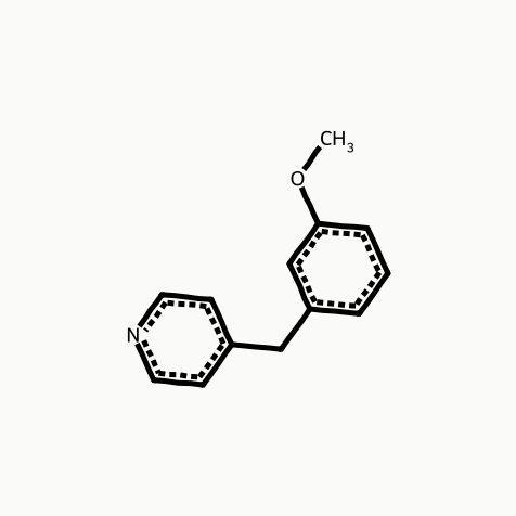 COc1cccc(Cc2ccncc2)c1